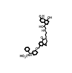 O=C(O)NC(c1ccccc1)c1cccc(OCc2ccc(C(=O)N(CCCNC[C@@H](O)c3ccc(O)c4[nH]c(=O)ccc34)CC3CC3)cc2)c1